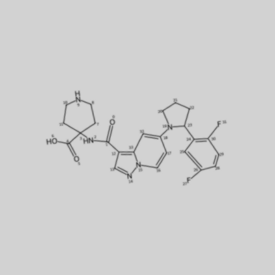 O=C(NC1(C(=O)O)CCNCC1)c1cnn2ccc(N3CCCC3c3cc(F)ccc3F)cc12